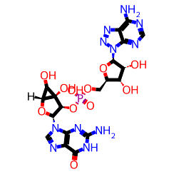 Nc1nc2c(ncn2[C@@H]2O[C@@H]3C(O)[C@]3(O)[C@H]2OP(=O)(O)OC[C@H]2O[C@@H](n3nnc4c(N)ncnc43)[C@H](O)[C@@H]2O)c(=O)[nH]1